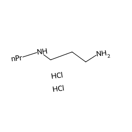 CCCNCCCN.Cl.Cl